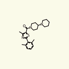 Cc1cccc(C)c1-c1nc(C)c(C(=O)N2CCC(N3CCCCC3)CC2)s1